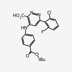 CC(C)(C)OC(=O)c1ccc(Nc2cc(-c3c(F)cccc3Cl)nnc2C(=O)O)cc1